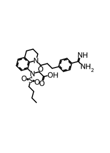 CCCCS(=O)(=O)N(CC(=O)O)c1cccc2c1N(C(=O)CCc1ccc(C(=N)N)cc1)CCC2